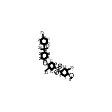 COc1ccc(S(=O)(=O)c2ccc(Oc3ccc(C(C)(C)c4ccc(C)cc4)cc3)c(C)c2)cc1C